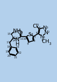 Cn1nnc(Cl)c1-c1ccc(C(=O)N[C@H](CN)Cc2ccccc2)s1